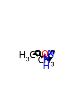 Cc1cccc([C@@H](C)C(=O)NC2(CN3CCC3)CC2)c1